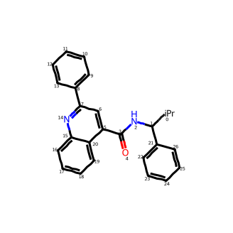 CC(C)C(NC(=O)c1cc(-c2ccccc2)nc2ccccc12)c1ccccc1